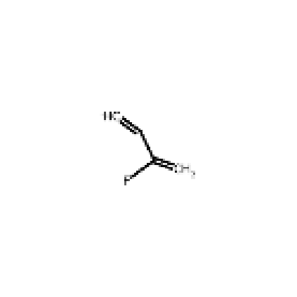 [CH]=CC(=C)F